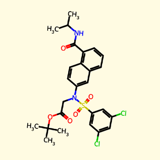 CC(C)NC(=O)c1cccc2cc(N(CC(=O)OC(C)(C)C)S(=O)(=O)c3cc(Cl)cc(Cl)c3)ccc12